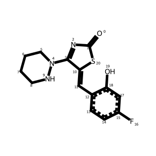 O=C1N=C(N2CCCCN2)C(=Cc2ccc(F)cc2O)S1